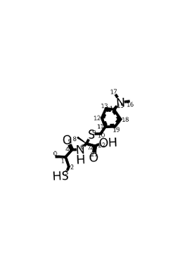 CC(CS)C(=O)N[C@](C)(SCc1ccc(N(C)C)cc1)C(=O)O